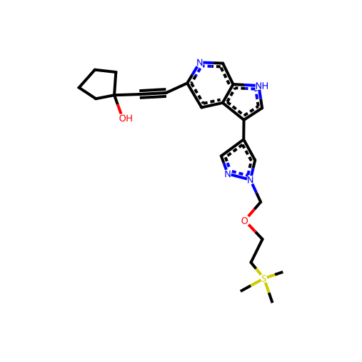 CS(C)(C)CCOCn1cc(-c2c[nH]c3cnc(C#CC4(O)CCCC4)cc23)cn1